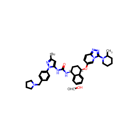 CC1CCCCN1c1nnc2ccc(O[C@@H]3CC[C@H](NC(=O)Nc4cc(C(C)(C)C)nn4-c4ccc(CN5CCCC5)cc4)c4ccccc43)cn12.O=CO